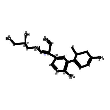 CC1CC(N)=CC=C1c1cc(/C(C=N)=C/NC[C@H](O)CO)cnc1N